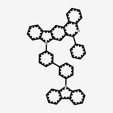 c1ccc(-c2nc3ccccc3c3cc4c5ccccc5n(-c5cccc(-c6cccc(-n7c8ccccc8c8ccccc87)c6)c5)c4cc23)cc1